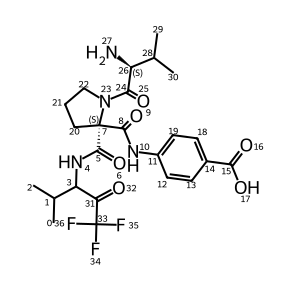 CC(C)C(NC(=O)[C@]1(C(=O)Nc2ccc(C(=O)O)cc2)CCCN1C(=O)[C@@H](N)C(C)C)C(=O)C(F)(F)F